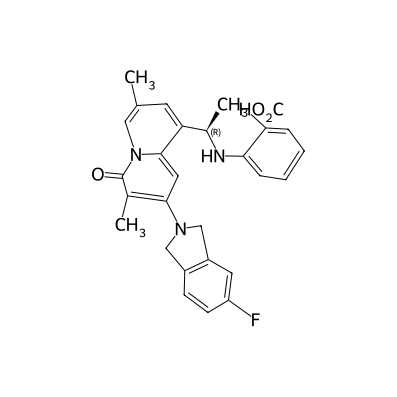 Cc1cc([C@@H](C)Nc2ccccc2C(=O)O)c2cc(N3Cc4ccc(F)cc4C3)c(C)c(=O)n2c1